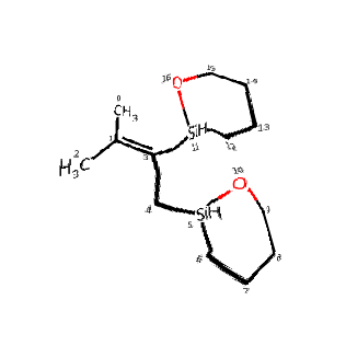 CC(C)=C(C[SiH]1CCCCO1)[SiH]1CCCCO1